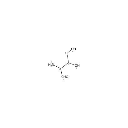 NC(C=O)C(O)CO